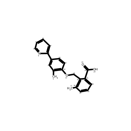 Cc1cc(-c2ccccn2)ccc1OCc1c(C)cccc1C(=O)O